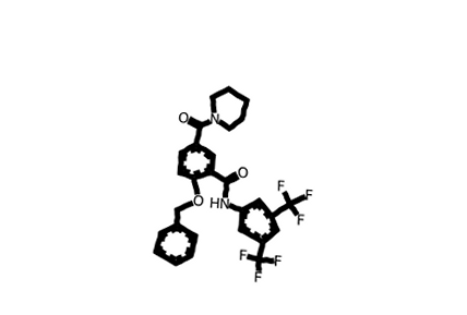 O=C(Nc1cc(C(F)(F)F)cc(C(F)(F)F)c1)c1cc(C(=O)N2CCCCC2)ccc1OCc1ccccc1